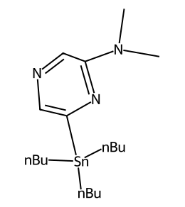 CCC[CH2][Sn]([CH2]CCC)([CH2]CCC)[c]1cncc(N(C)C)n1